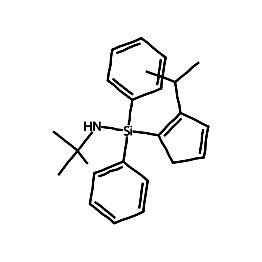 CC(C)C1=C([Si](NC(C)(C)C)(c2ccccc2)c2ccccc2)CC=C1